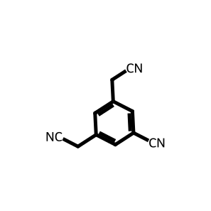 N#CCc1cc(C#N)cc(CC#N)c1